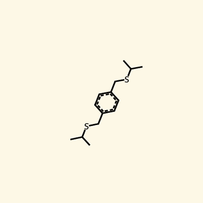 CC(C)SCc1ccc(CSC(C)C)cc1